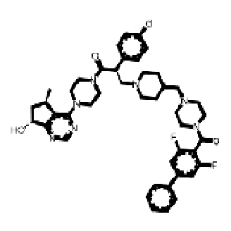 C[C@@H]1C[C@@H](O)c2ncnc(N3CCN(C(=O)[C@H](CN4CCC(CN5CCN(C(=O)c6c(F)cc(-c7ccccc7)cc6F)CC5)CC4)c4ccc(Cl)cc4)CC3)c21